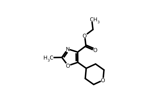 CCOC(=O)c1nc(C)oc1C1CCOCC1